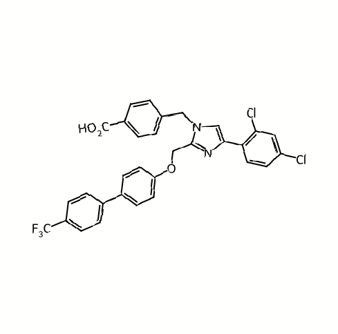 O=C(O)c1ccc(Cn2cc(-c3ccc(Cl)cc3Cl)nc2COc2ccc(-c3ccc(C(F)(F)F)cc3)cc2)cc1